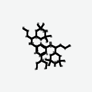 CCCC(Nc1nc(NC(CCC)C2CC(C)(C)NC(C)(C)C2)nc(N(CC)CC)n1)C1CC(C)(C)NC(C)(C)C1